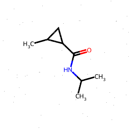 CC(C)NC(=O)C1CC1C